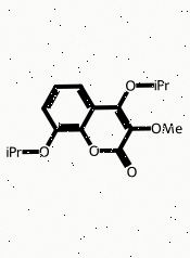 COc1c(OC(C)C)c2cccc(OC(C)C)c2oc1=O